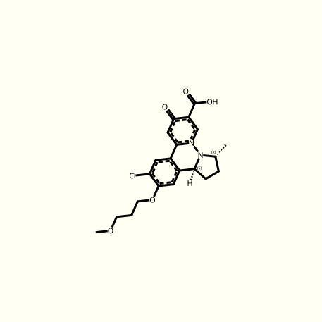 COCCCOc1cc2c(cc1Cl)-c1cc(=O)c(C(=O)O)cn1N1[C@H](C)CC[C@@H]21